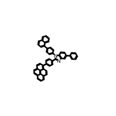 c1ccc(-c2ccc3c(c2)nc(-c2ccc(-c4ccc5ccc6cccc7ccc4c5c67)cc2)n3-c2ccc(-c3cccc4ccccc34)cc2)cc1